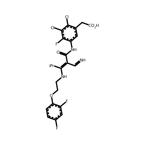 CC(C)/C(NCCOc1ccc(F)cc1F)=C(/C=N)C(=O)Nc1cc(CC(=O)O)c(Cl)c(Cl)c1F